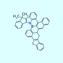 CC1(C)c2ccccc2-c2c1c1cccc3c1n2B1c2cccc4c2C(Cc2c-4sc4ccccc24)c2cc4ccccc4c-3c21